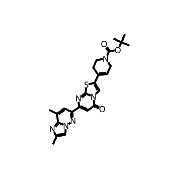 Cc1cn2nc(-c3cc(=O)n4cc(C5=CCN(C(=O)OC(C)(C)C)CC5)sc4n3)cc(C)c2n1